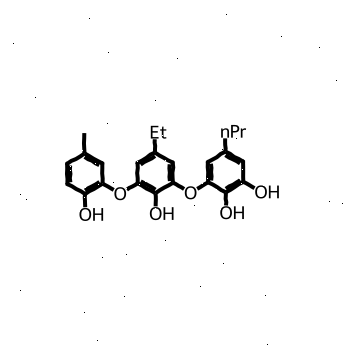 CCCc1cc(O)c(O)c(Oc2cc(CC)cc(Oc3cc(C)ccc3O)c2O)c1